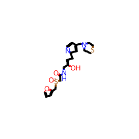 O=C(C[S+]([O-])Cc1ccco1)NCC(O)=CCc1cc(CN2CCSCC2)ccn1